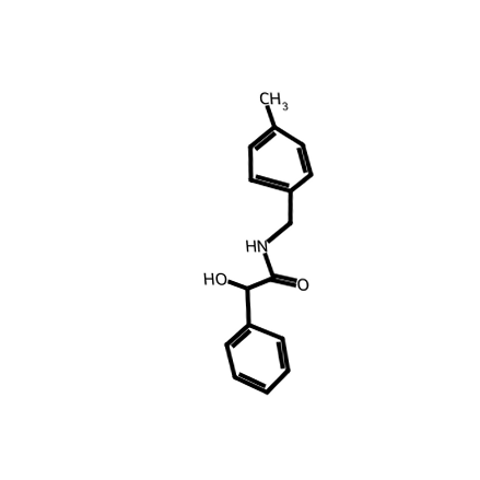 Cc1ccc(CNC(=O)C(O)c2ccccc2)cc1